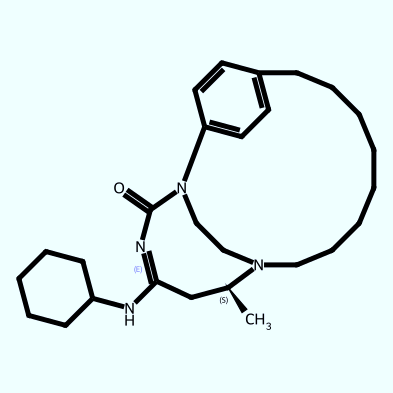 C[C@H]1C/C(NC2CCCCC2)=N\C(=O)N2CCN1CCCCCCCCc1ccc2cc1